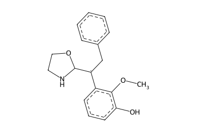 COc1c(O)cccc1[C](Cc1ccccc1)C1NCCO1